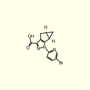 O=C(O)c1nn(-c2ccc(Br)cn2)c2c1C[C@H]1C[C@@H]21